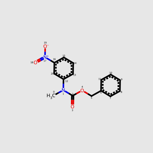 CN(C(=O)OCc1ccccc1)c1cccc([N+](=O)[O-])c1